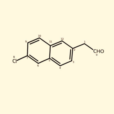 O=CCc1ccc2cc(Cl)ccc2c1